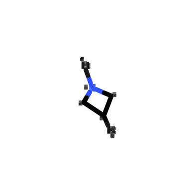 CCC1CN(CC)C1